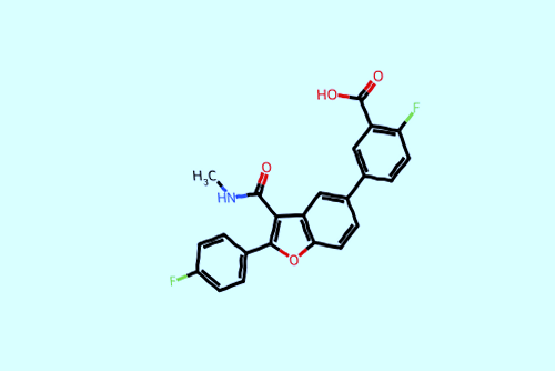 CNC(=O)c1c(-c2ccc(F)cc2)oc2ccc(-c3ccc(F)c(C(=O)O)c3)cc12